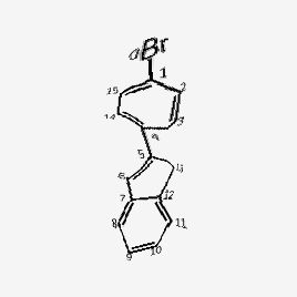 Brc1ccc(C2=Cc3ccccc3C2)cc1